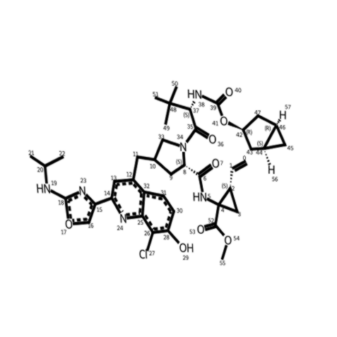 C=C[C@@H]1CC1(NC(=O)[C@@H]1CC(Cc2cc(-c3coc(NC(C)C)n3)nc3c(Cl)c(O)ccc23)CN1C(=O)[C@@H](NC(=O)O[C@@H]1C[C@@H]2C[C@@H]2C1)C(C)(C)C)C(=O)OC